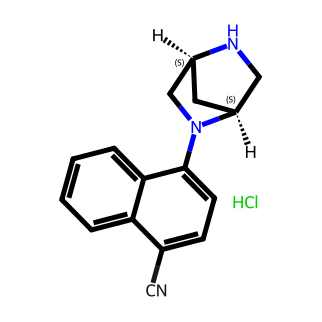 Cl.N#Cc1ccc(N2C[C@@H]3C[C@H]2CN3)c2ccccc12